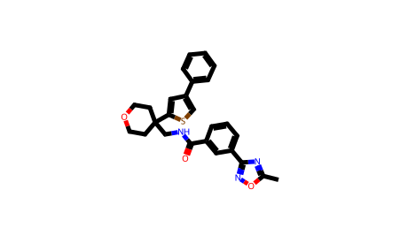 Cc1nc(-c2cccc(C(=O)NCC3(c4cc(-c5ccccc5)cs4)CCOCC3)c2)no1